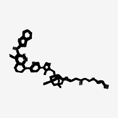 Cc1c(Nc2nc3ccccc3s2)nnc2c1CCCN2c1ccc(-c2cnn(CC34CC5(C)CC(C)(C3)CC(OCCNCCOCCO)(C5)C4)c2C)cn1